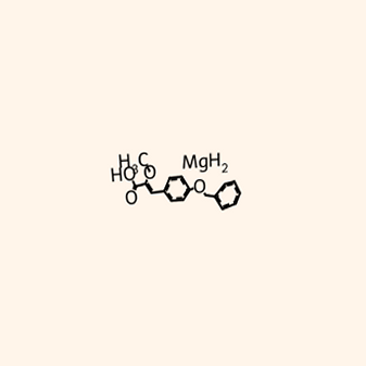 COC(=Cc1ccc(OCc2ccccc2)cc1)C(=O)O.[MgH2]